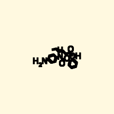 CCCCCC(=O)O.Nc1ccc(NC(=O)Oc2ccccc2)cc1